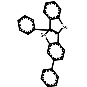 C1=CC23[Se]c4ccccc4C2([Se]c2cc(-c4ccccc4)ccc23)C(c2ccccc2)=C1